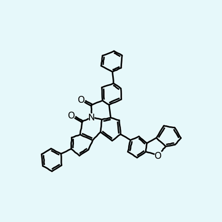 O=c1c2cc(-c3ccccc3)ccc2c2cc(-c3ccc4oc5ccccc5c4c3)cc3c4ccc(-c5ccccc5)cc4c(=O)n1c23